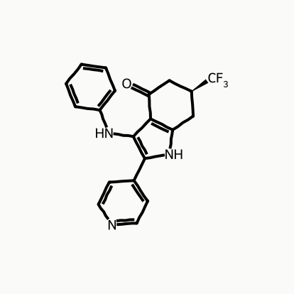 O=C1C[C@@H](C(F)(F)F)Cc2[nH]c(-c3ccncc3)c(Nc3ccccc3)c21